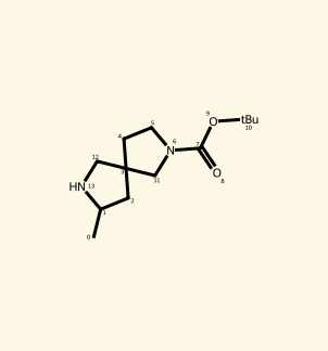 CC1CC2(CCN(C(=O)OC(C)(C)C)C2)CN1